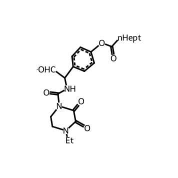 CCCCCCCC(=O)Oc1ccc(C([C]=O)NC(=O)N2CCN(CC)C(=O)C2=O)cc1